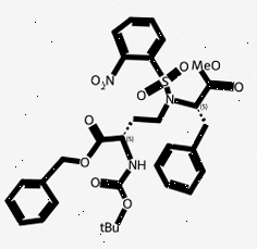 COC(=O)[C@H](Cc1ccccc1)N(CC[C@H](NC(=O)OC(C)(C)C)C(=O)OCc1ccccc1)S(=O)(=O)c1ccccc1[N+](=O)[O-]